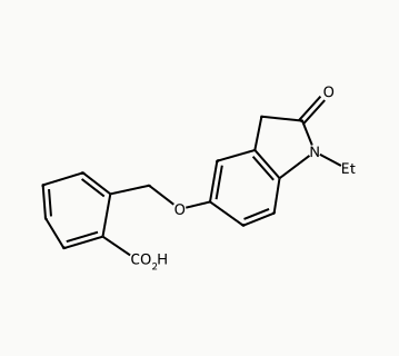 CCN1C(=O)Cc2cc(OCc3ccccc3C(=O)O)ccc21